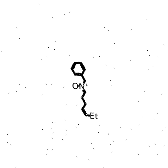 CC/C=C\CC/C=[N+](\[O-])Cc1ccccc1